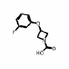 O=C(O)N1CC(Oc2cccc(F)c2)C1